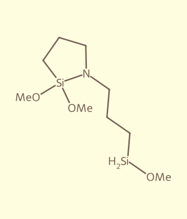 CO[SiH2]CCCN1CCC[Si]1(OC)OC